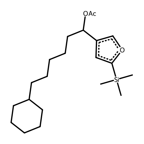 CC(=O)OC(CCCCCC1CCCCC1)c1coc([Si](C)(C)C)c1